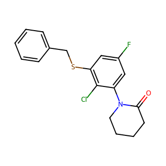 O=C1CCCCN1c1cc(F)cc(SCc2ccccc2)c1Cl